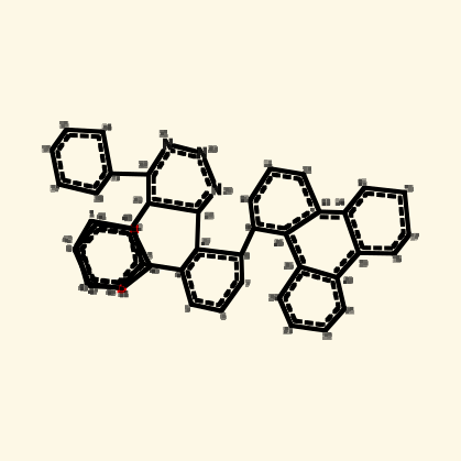 c1ccc(-c2cccc(-c3cccc4c5ccccc5c5ccccc5c34)c2-c2nnnc(-c3ccccc3)c2-c2ccccc2)cc1